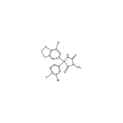 CN1C(=O)C(c2ccc(F)c(Br)c2)(c2cc(Cl)c3c(c2)CCO3)NC1=S